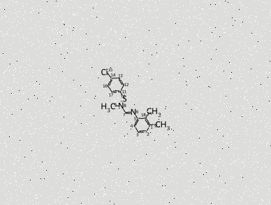 Cc1cccc(N=CN(C)Sc2ccc(Cl)cc2)c1C